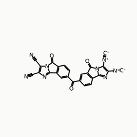 [C-]#[N+]c1nc2n(c1[N+]#[C-])C(=O)c1cc(C(=O)c3ccc4c(c3)-c3nc(C#N)c(C#N)n3C4=O)ccc1-2